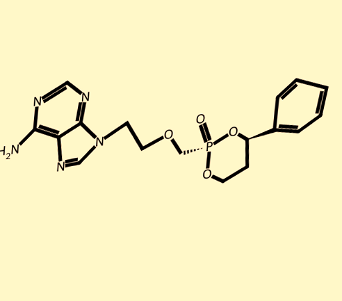 Nc1ncnc2c1ncn2CCOC[P@@]1(=O)OCC[C@H](c2ccccc2)O1